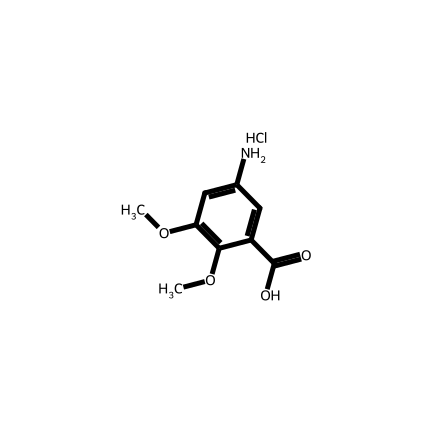 COc1cc(N)cc(C(=O)O)c1OC.Cl